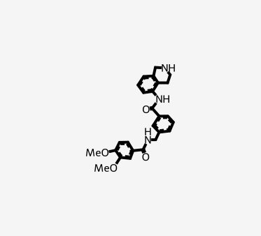 COc1ccc(C(=O)NCc2cccc(C(=O)Nc3cccc4c3CCNC4)c2)cc1OC